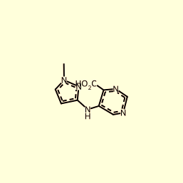 Cn1ccc(Nc2cncnc2C(=O)O)n1